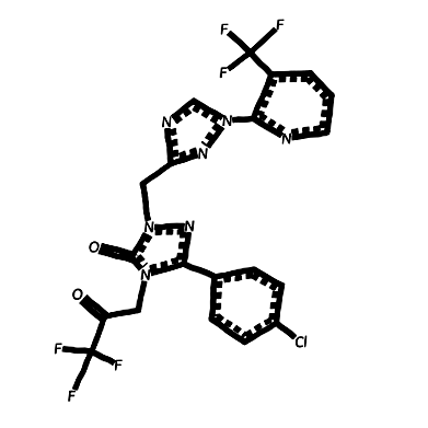 O=C(Cn1c(-c2ccc(Cl)cc2)nn(Cc2ncn(-c3ncccc3C(F)(F)F)n2)c1=O)C(F)(F)F